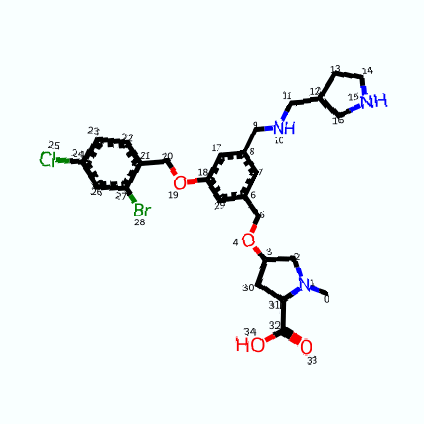 CN1CC(OCc2cc(CNCC3CCNC3)cc(OCc3ccc(Cl)cc3Br)c2)CC1C(=O)O